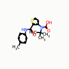 Cc1ccc(NC(=O)c2sccc2N(C(=O)O)C(C)(C)C)cc1